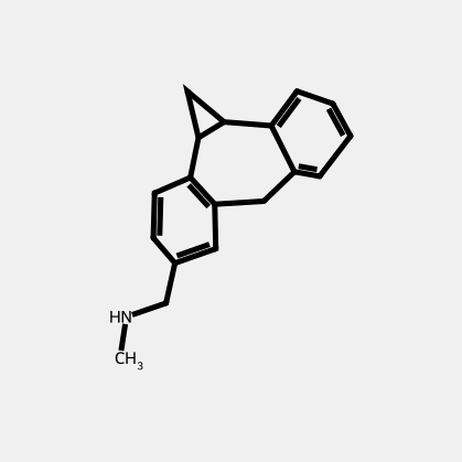 CNCc1ccc2c(c1)Cc1ccccc1C1CC21